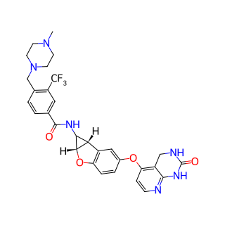 CN1CCN(Cc2ccc(C(=O)NC3[C@H]4Oc5ccc(Oc6ccnc7c6CNC(=O)N7)cc5[C@@H]34)cc2C(F)(F)F)CC1